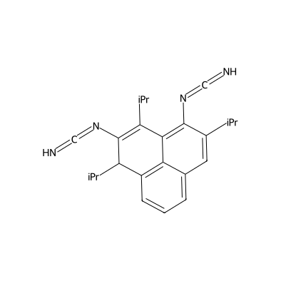 CC(C)C1=C(N=C=N)C(C(C)C)c2cccc3cc(C(C)C)c(N=C=N)c1c23